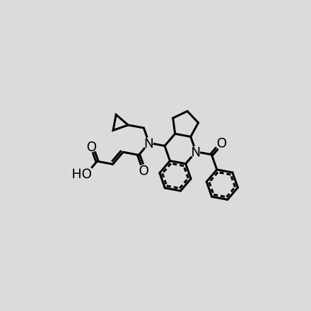 O=C(O)/C=C/C(=O)N(CC1CC1)C1c2ccccc2N(C(=O)c2ccccc2)C2CCCC12